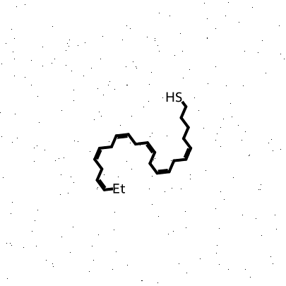 CC/C=C\C/C=C\C/C=C\C/C=C\C/C=C\C/C=C\CCCCS